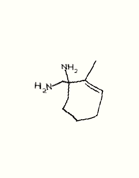 CC1=CCCCC1(N)N